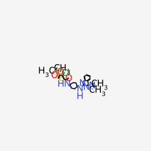 CC(C)S(=O)(=O)c1csc(C(=O)N[C@H]2CC[C@@H](Nc3nc(N(C)C)c4ccccc4n3)CC2)c1Cl